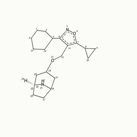 C1CCC(c2noc(C3CC3)c2COC2CC3CC[C@@H](C2)N3)CC1